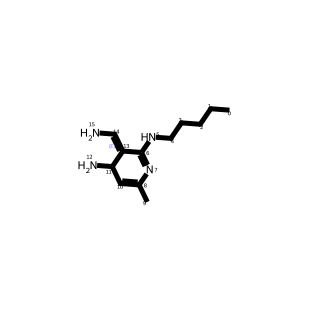 CCCCCNC1=NC(C)=CC(N)/C1=C\N